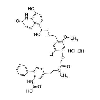 COc1cc(OCC(=O)N(C)CCc2ccc(-c3ccccc3)c(NC(=O)O)c2)c(Cl)cc1CNCC(O)c1ccc(O)c2[nH]c(=O)ccc12.Cl.Cl